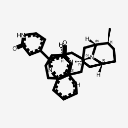 C[C@H]1CC[C@@H]2C[C@H](n3c(=O)c(-c4cc[nH]c(=O)c4)nc4ccccc43)C[C@H]1N2[C@@H]1C[C@@H]2CCCC[C@@H](C2)C1